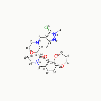 Cc1nn(C)c(Cl)c1CN1CCO[C@@H](C(=O)N(Cc2ccc3c(c2)OCCCO3)CC(C)C)C1